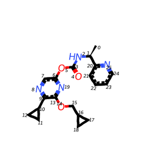 C[C@H](NC(=O)Oc1cnc(C2CC2)c(OCC2CC2)n1)c1ccccn1